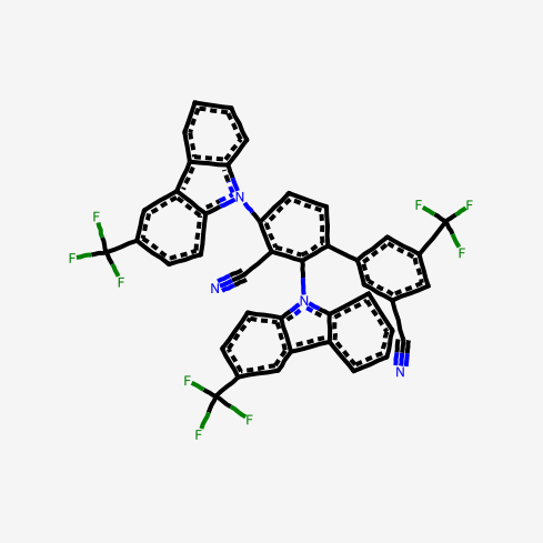 N#Cc1cc(-c2ccc(-n3c4ccccc4c4cc(C(F)(F)F)ccc43)c(C#N)c2-n2c3ccccc3c3cc(C(F)(F)F)ccc32)cc(C(F)(F)F)c1